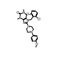 COc1ccc(N2CCN(c3nc4c(c(=O)n(C)c(=O)n4C)n3Cc3c(C)cccc3Cl)CC2)cc1